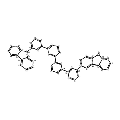 c1cc(-c2cccc(-c3cccc(-n4c5ccccc5c5ccccc54)c3)c2)cc(-c2cccc(-c3ccc4oc5ncccc5c4c3)c2)c1